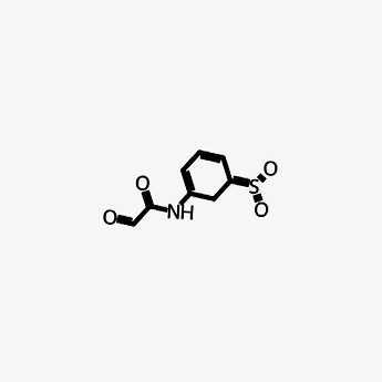 O=CC(=O)NC1=CC=CC(=S(=O)=O)C1